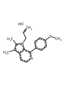 C=CCn1c(C)c(C)c2ccnc(-c3ccc(SC)cc3)c21.Cl